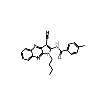 CCCCn1c(NC(=O)c2ccc(C)cc2)c(C#N)c2nc3ccccc3nc21